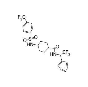 O=C(N[C@@H](c1ccccc1)C(F)(F)F)[C@H]1CC[C@H](NS(=O)(=O)c2ccc(C(F)(F)F)cc2)CC1